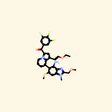 CCO/C=C/c1cc(C(=O)c2cc(F)c(F)c(F)c2)n2cccc(-c3c(SC)cc4c(nc(COC)n4C)c3N)c12